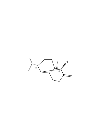 C=C1CCC2C3[C@H](C(C)C)CC[C@@]2(C)[C@H]13